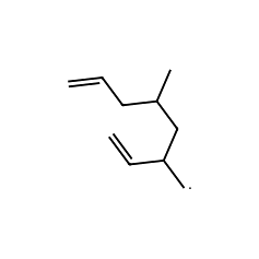 [CH2]C(C=C)CC(C)CC=C